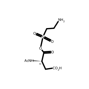 CC(=O)N[C@@H](CC(=O)O)C(=O)OS(=O)(=O)CCN